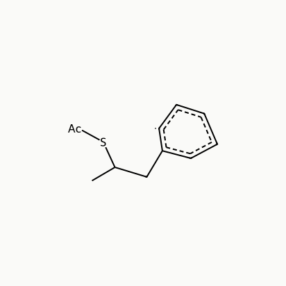 CC(=O)SC(C)Cc1[c]cccc1